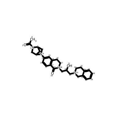 CC(=O)N1CC2CC1CN2c1ccc2c(c1)CCN(CC(O)CN1CCc3ccccc3C1)C2=O